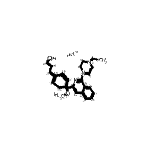 CCN1CCN(c2nc(C3(OC)C=CC(CCCO)=CC3)cc3ccccc23)CC1.Cl